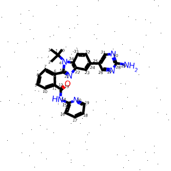 CC(C)(C)n1c(-c2ccccc2C(=O)Nc2ccccn2)nc2cc(-c3cnc(N)nc3)ccc21